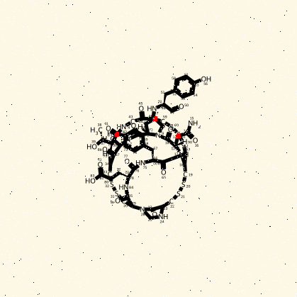 CC1NC(=O)[C@@H]2CCCN2C(=O)[C@H](CC(N)=O)NC2CSSCC3NCN(C3=O)C3CSSCC(N[C@@H]([C@@H](C)O)C(=O)NCC(=O)C(N[C@H](C=O)Cc4ccc(O)cc4)CSSCC2C(=O)[C@H](Cc2ccc(O)cc2)NC(=O)[C@H](CCC(=O)O)NC3=O)C1=O